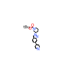 CC(C)(C)OC(=O)N1CCCC(n2cc3ccc(-c4ccncc4)cc3n2)C1